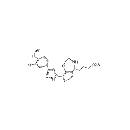 CC(C)Oc1ccc(-c2nc(-c3cccc4c3OCCNC4CCCC(=O)O)no2)cc1Cl